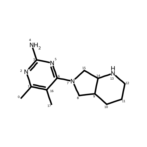 Cc1nc(N)nc(N2CC3CCCNC3C2)c1C